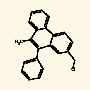 Cc1c(-c2ccccc2)c2cc(CCl)ccc2c2ccccc12